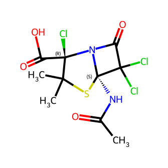 CC(=O)N[C@]12SC(C)(C)[C@](Cl)(C(=O)O)N1C(=O)C2(Cl)Cl